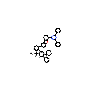 CC1(C)c2cccc(-c3ccc4oc5c(c4c3)CCC=C5c3nc(-c4ccccc4)nc(-c4ccccc4)n3)c2C2=CC3=C(CC21)c1ccccc1C31CCCCC1